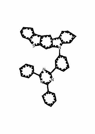 c1ccc(-c2nc(-c3ccccc3)nc(-c3cccc(-n4c5ccccc5c5cc6c(cc54)sc4ccccc46)c3)n2)cc1